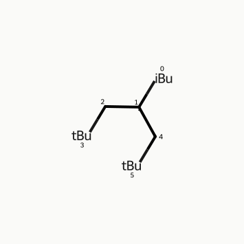 CCC(C)[C](CC(C)(C)C)CC(C)(C)C